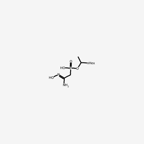 CCCCCCC(C)OP(=O)(O)CC(N)=NO